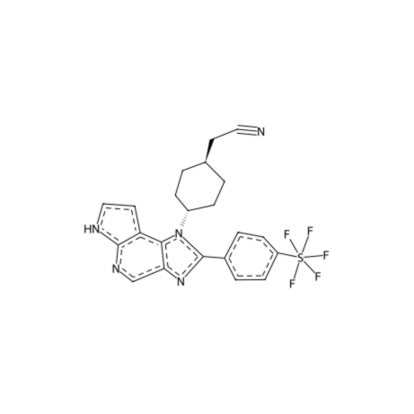 N#CC[C@H]1CC[C@H](n2c(-c3ccc(S(F)(F)(F)(F)F)cc3)nc3cnc4[nH]ccc4c32)CC1